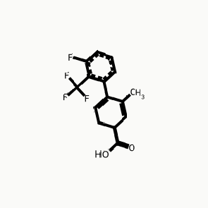 CC1=CC(C(=O)O)CC=C1c1cccc(F)c1C(F)(F)F